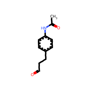 CC(=O)Nc1ccc(CC[C]=O)cc1